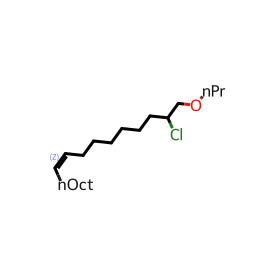 CCCCCCCC/C=C\CCCCCCC(Cl)COCCC